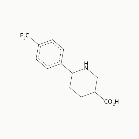 O=C(O)C1CCC(c2ccc(C(F)(F)F)cc2)NC1